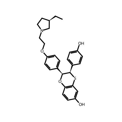 CC[C@@H]1CCN(CCOc2ccc([C@@H]3Oc4ccc(O)cc4S[C@@H]3c3ccc(O)cc3)cc2)C1